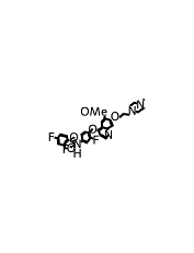 COc1cc2c(Oc3ccc(NS(=O)(=O)c4ccc(F)cc4F)cc3F)ccnc2cc1OCCCN1CCN(C)CC1